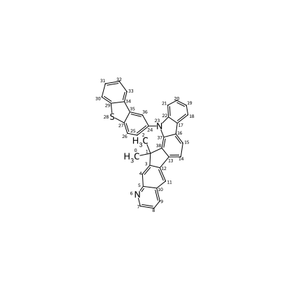 CC1(C)c2cc3ncccc3cc2-c2ccc3c4ccccc4n(-c4ccc5sc6ccccc6c5c4)c3c21